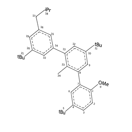 COc1ccc(C(C)(C)C)cc1-c1cc(C(C)(C)C)cc(-c2cc(CC(C)C)cc(C(C)(C)C)c2)c1C